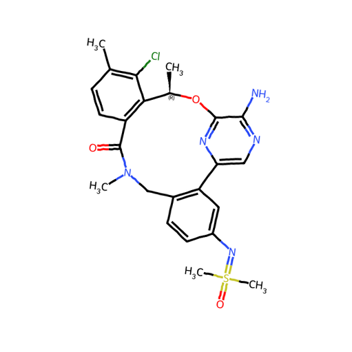 Cc1ccc2c(c1Cl)[C@@H](C)Oc1nc(cnc1N)-c1cc(N=S(C)(C)=O)ccc1CN(C)C2=O